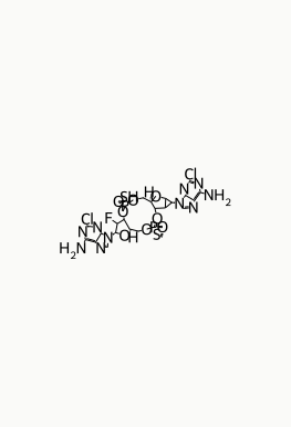 C#S[P@]1(=O)OC[C@H]2O[C@@H](n3cnc4c(N)nc(Cl)nc43)C(F)C2O[P@](=O)(S)OC[C@H]2OC3C(C2O1)[C@@H]3n1cnc2c(N)nc(Cl)nc21